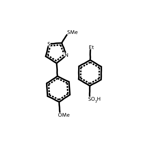 CCc1ccc(S(=O)(=O)O)cc1.COc1ccc(-c2csc(SC)n2)cc1